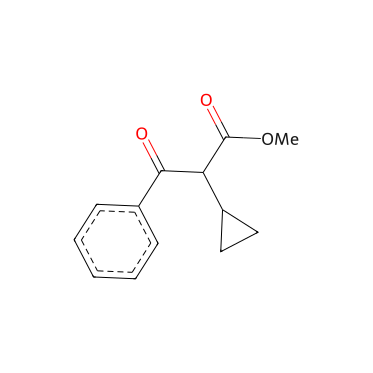 COC(=O)C(C(=O)c1ccccc1)C1CC1